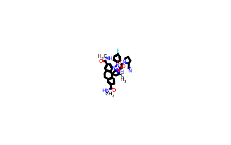 CNC(=O)c1ccc2c(c1)CCc1cc(C(=O)NC)ccc1C2(C[C@H](C)NCC(=O)N1CCCC1C#N)c1nn(-c2ccc(F)cc2)c(=O)[nH]1